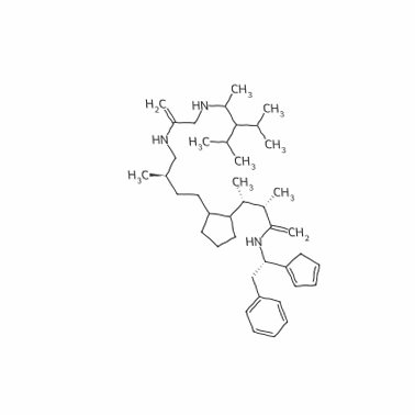 C=C(CNC(C)C(C(C)C)C(C)C)NC[C@H](C)CCC1CCCC1[C@H](C)[C@H](C)C(=C)N[C@@H](Cc1ccccc1)C1=CC=CC1